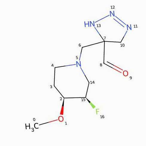 CO[C@H]1CCN(CC2(C=O)CN=NN2)C[C@H]1F